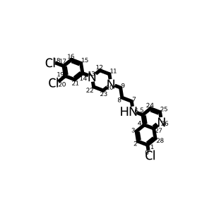 Clc1ccc2c(NCCCN3CCN(c4ccc(Cl)c(Cl)c4)CC3)ccnc2c1